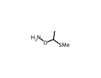 CSC(C)ON